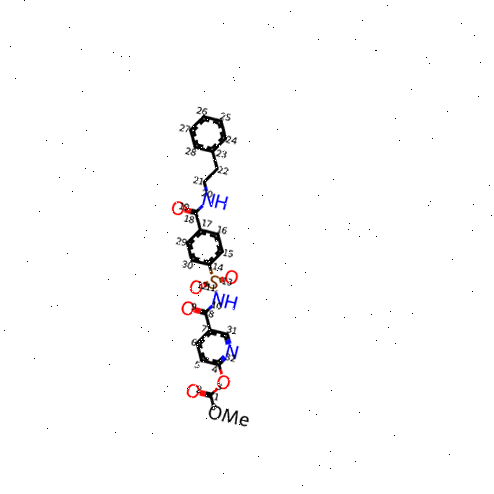 COC(=O)Oc1ccc(C(=O)NS(=O)(=O)c2ccc(C(=O)NCCc3ccccc3)cc2)cn1